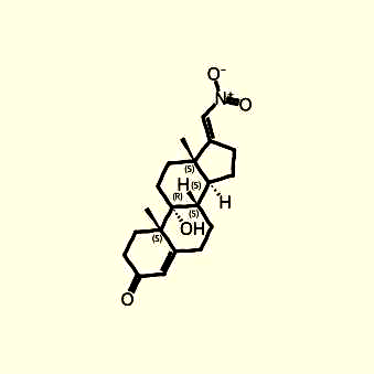 C[C@]12CCC(=O)C=C1CC[C@H]1[C@@H]3CCC(=C[N+](=O)[O-])[C@@]3(C)CC[C@@]12O